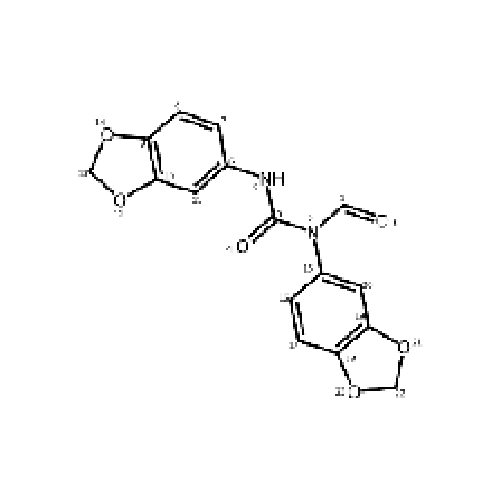 O=CN(C(=O)Nc1ccc2c(c1)OCO2)c1ccc2c(c1)OCO2